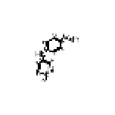 Cc1ncc(Nc2ccc(OC(C)C)cc2)cn1